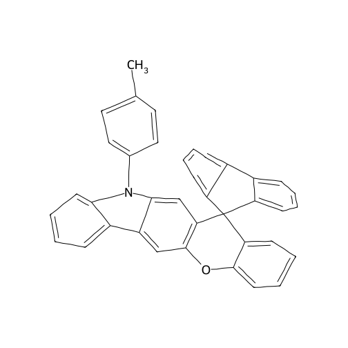 Cc1ccc(-n2c3ccccc3c3cc4c(cc32)C2(c3ccccc3O4)c3ccccc3-c3ccccc32)cc1